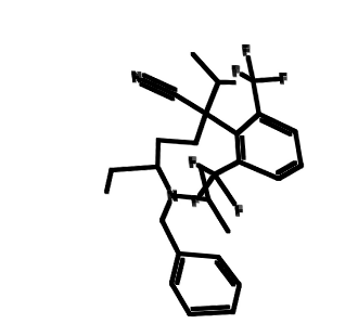 CCC(CCC(C#N)(c1c(C(F)(F)F)cccc1C(F)(F)F)C(C)C)N(Cc1ccccc1)C(C)C